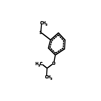 CSc1cccc(OC(C)C)c1